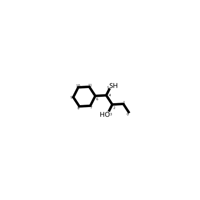 CCC(O)C(S)C1CCCCC1